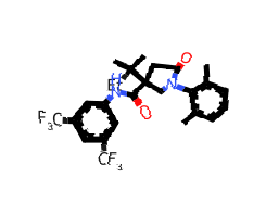 CCC(C)(C)C1(C(=O)Nc2cc(C(F)(F)F)cc(C(F)(F)F)c2)CC(=O)N(c2c(C)cccc2C)C1